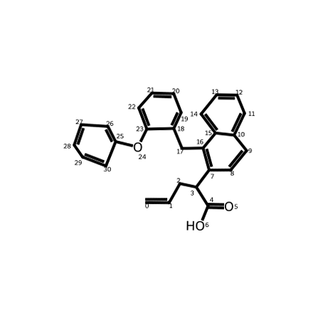 C=CCC(C(=O)O)c1ccc2ccccc2c1Cc1ccccc1Oc1ccccc1